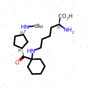 CC(C)(C)N[C@H]1CC[C@@H](C(=O)C2(NCCCC[C@H](N)C(=O)O)CCCCC2)C1